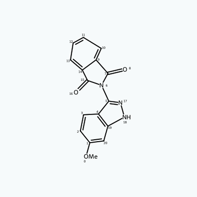 COc1ccc2c(N3C(=O)c4ccccc4C3=O)n[nH]c2c1